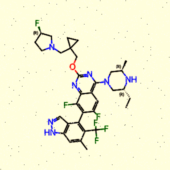 CC[C@@H]1CN(c2nc(OCC3(CN4CC[C@@H](F)C4)CC3)nc3c(F)c(-c4c(C(F)(F)F)c(C)cc5[nH]ncc45)c(F)cc23)C[C@@H](C)N1